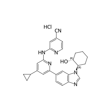 Cl.N#Cc1ccnc(Nc2cc(C3CC3)cc(-c3ccc4ncn([C@@H]5CCCC[C@H]5O)c4c3)n2)c1